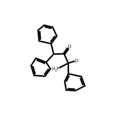 O=C(C(c1ccccc1)c1ccccc1)C(P)(Cl)c1ccccc1